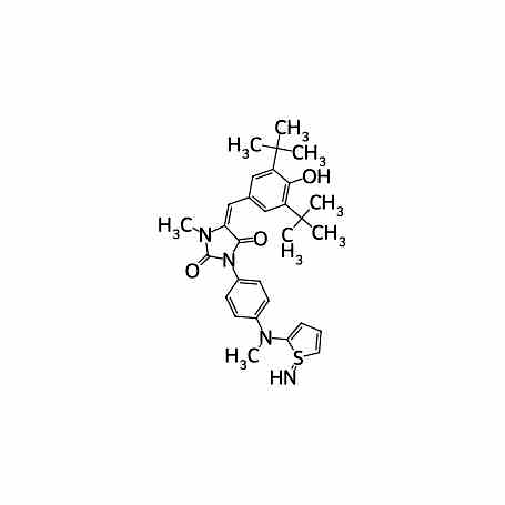 CN1C(=O)N(c2ccc(N(C)C3=CC=CS3=N)cc2)C(=O)C1=Cc1cc(C(C)(C)C)c(O)c(C(C)(C)C)c1